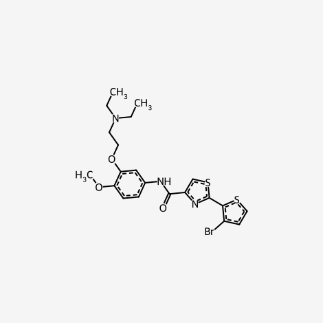 CCN(CC)CCOc1cc(NC(=O)c2csc(-c3sccc3Br)n2)ccc1OC